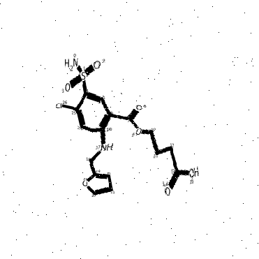 NS(=O)(=O)c1cc(C(=O)OCCCC(=O)O)c(NCc2ccco2)cc1Cl